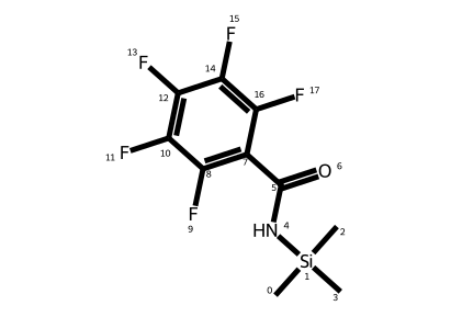 C[Si](C)(C)NC(=O)c1c(F)c(F)c(F)c(F)c1F